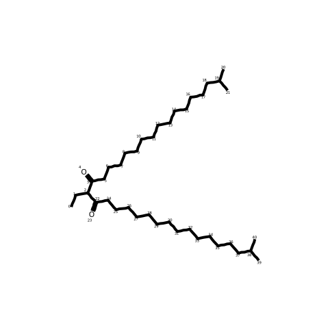 CC[C](C(=O)CCCCCCCCCCCCCCC(C)C)C(=O)CCCCCCCCCCCCCCC(C)C